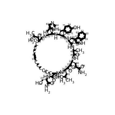 CC(=O)C[C@]1(C)CCCC=CCCCCCC[C@@](C)(C(=O)N[C@@H](CO)C(N)=O)NN[C@@H](CC(C)C)C(=O)C(=O)[C@H](CCC(N)=O)NC(=O)C(C)NC(=O)[C@H](Cc2c[nH]c3ccccc23)NC(=O)[C@H](Cc2ccc(O)cc2)NC(=O)[C@H](Cc2cnc[nH]2)NC1=O